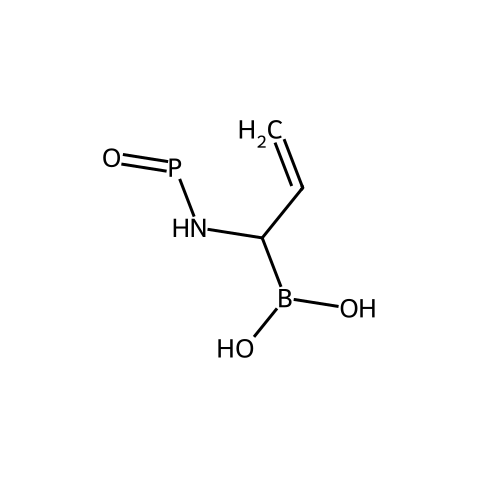 C=CC(NP=O)B(O)O